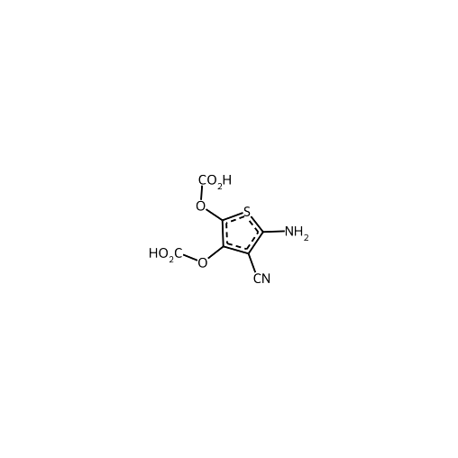 N#Cc1c(N)sc(OC(=O)O)c1OC(=O)O